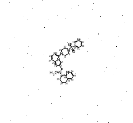 CN(Cc1cn2c(N3CCN(S(=O)(=O)c4cccnc4)CC3)nccc2n1)[C@H]1CCCc2cccnc21